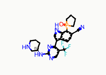 N#Cc1ccc2c(-c3nc(N[C@H]4CCCNC4)ncc3C(F)(F)F)c[nH]c2c1P1(=O)CCCC1